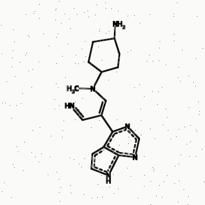 CN(/C=C(\C=N)c1ncnc2[nH]ccc12)C1CCC(N)CC1